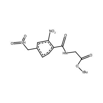 CC(C)(C)OC(=O)CNC(=O)c1ccc(C[SH](=O)=O)cc1[N+](=O)[O-]